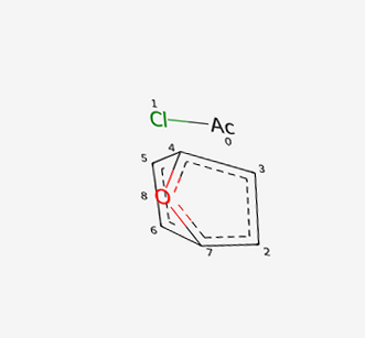 CC(=O)Cl.c1cc2ccc1o2